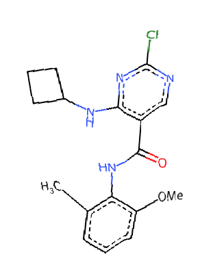 COc1cccc(C)c1NC(=O)c1cnc(Cl)nc1NC1CCC1